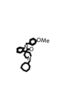 COc1ccc(CN2C(=O)C3(CCN(CC4CCCCCCC4)CC3)c3ccccc32)cc1